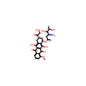 COc1cccc2c1C(=O)c1c(O)c3c(c(O)c1C2=O)C[C@@H](C(=O)CO)C[C@@H]3OC(C)CC(N)C(O)C(C)O